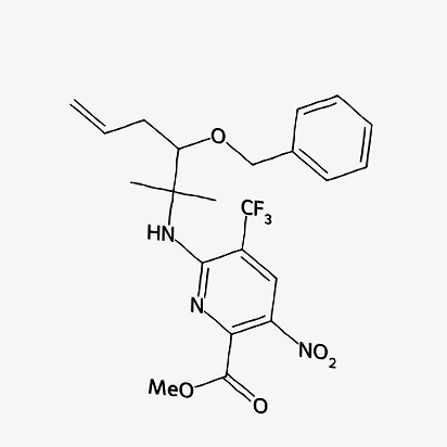 C=CCC(OCc1ccccc1)C(C)(C)Nc1nc(C(=O)OC)c([N+](=O)[O-])cc1C(F)(F)F